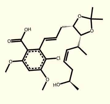 COc1cc(OC)c(C(=O)O)c(/C=C/C[C@@H]2OC(C)(C)O[C@@H]2C(C)/C=C\C[C@@H](C)O)c1Cl